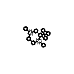 c1ccc(-c2cc(-c3cccc(-c4cccc(-c5nc(-c6ccccc6)nc(-c6cccc7c6-c6ccccc6C76c7ccccc7-c7ccccc76)n5)c4)c3)nc(-c3ccccc3)n2)cc1